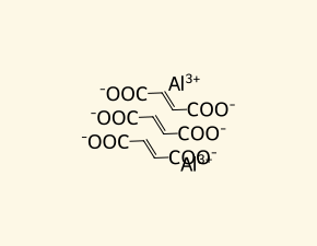 O=C([O-])C=CC(=O)[O-].O=C([O-])C=CC(=O)[O-].O=C([O-])C=CC(=O)[O-].[Al+3].[Al+3]